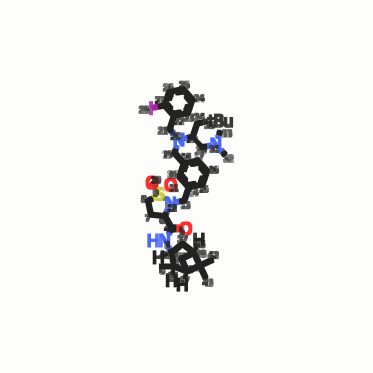 C[C@@H]1[C@@H](NC(=O)C2CCS(=O)(=O)N2Cc2cccc(CN(Cc3ccccc3I)[C@H](CN(C)C)CC(C)(C)C)c2)C[C@H]2C[C@@H]1C2(C)C